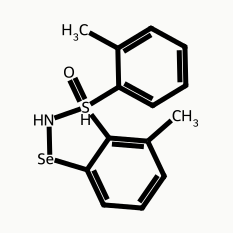 Cc1ccccc1[SH]1(=O)N[Se]c2cccc(C)c21